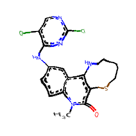 Cn1c(=O)c2c(c3cc(Nc4nc(Cl)ncc4Cl)ccc31)NCCCS2